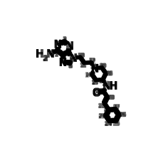 Nc1ncnc2c1ncn2CCCN1CCC(NC(=O)/C=C/c2ccccc2)CC1